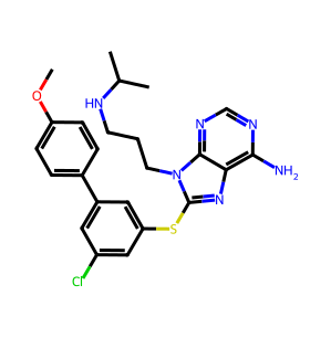 COc1ccc(-c2cc(Cl)cc(Sc3nc4c(N)ncnc4n3CCCNC(C)C)c2)cc1